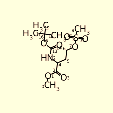 COC(=O)C(CCOS(C)(=O)=O)NC(=O)OC(C)(C)C